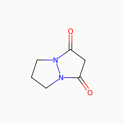 O=C1CC(=O)N2CCCN12